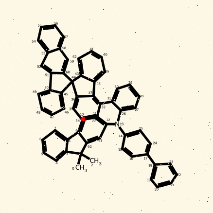 CC1(C)c2ccccc2-c2ccc(N(c3ccc(-c4ccccc4)cc3)c3ccccc3-c3cccc4c3-c3ccccc3C43c4ccccc4-c4cc5ccccc5cc43)cc21